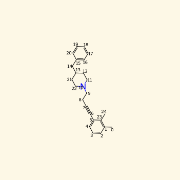 Cc1cccc(C#CCCN2CCC(Cc3ccccc3)CC2)c1C